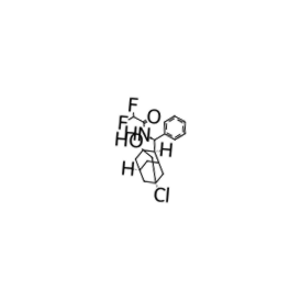 O=C(N[C@@H](c1ccccc1)[C@H]1C2C[C@H]3C[C@](Cl)(C2)C[C@@]1(O)C3)C(F)F